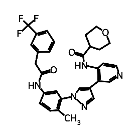 Cc1ccc(NC(=O)Cc2cccc(C(F)(F)F)c2)cc1-n1cc(-c2cnccc2NC(=O)C2CCOCC2)cn1